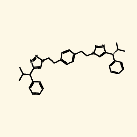 CC(C)[C@H](c1ccccc1)c1cn(CCc2ccc(CCn3cc([C@@H](c4ccccc4)C(C)C)nn3)cc2)nn1